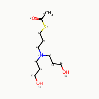 CC(=O)SCCCN(CCCO)CCCO